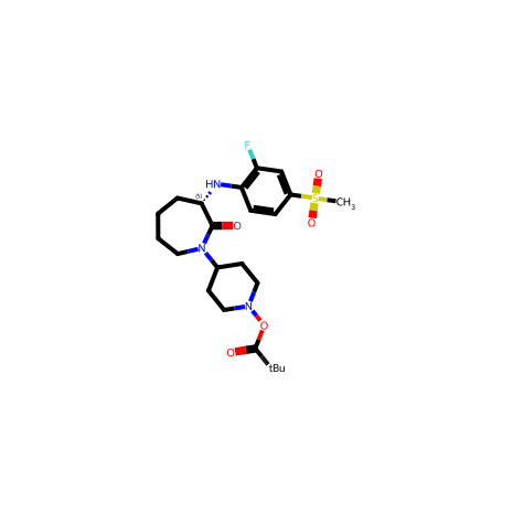 CC(C)(C)C(=O)ON1CCC(N2CCCC[C@H](Nc3ccc(S(C)(=O)=O)cc3F)C2=O)CC1